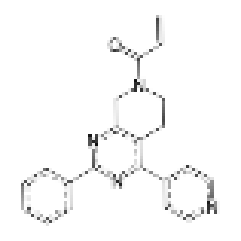 C=CC(=O)N1CCc2c(nc(-c3ccccc3)nc2-c2ccncc2)C1